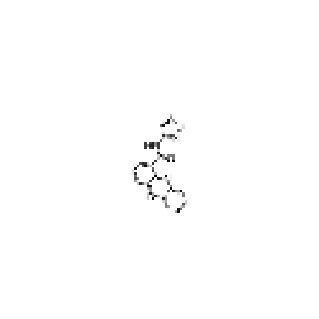 Cc1cc(NC(=O)c2cccc3nc4ccccc4nc23)no1